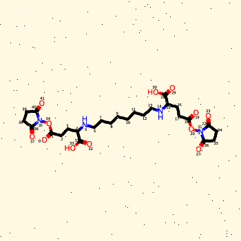 O=C(CCC(NCCCCCCCCNC(CCC(=O)ON1C(=O)CCC1=O)C(=O)O)C(=O)O)ON1C(=O)CCC1=O